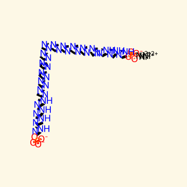 C1=NC=NC1.C1=NC=NC1.C1=NC=NC1.C1=NC=NC1.C1=NC=NC1.C1=NC=NC1.C1=NC=NC1.C1=NC=NC1.C1=NC=NC1.C1=NC=NC1.C1=NC=NC1.O=P([O-])([O-])[O-].O=P([O-])([O-])[O-].[Ni+2].[Ni+2].[Ni+2].c1c[nH]cn1.c1c[nH]cn1.c1c[nH]cn1.c1c[nH]cn1.c1c[nH]cn1.c1c[nH]cn1.c1c[nH]cn1